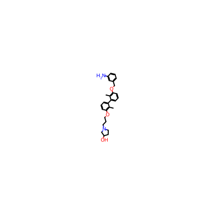 Cc1c(OCCCN2CCC(O)C2)cccc1-c1cccc(OCc2cccc(N)c2)c1C